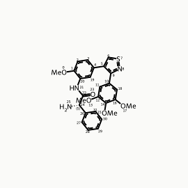 COc1ccc(-c2csnc2-c2cc(OC)c(OC)c(OC)c2)cc1NC(=O)[C@@H](N)c1ccccc1